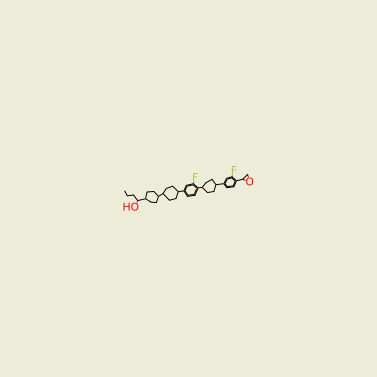 CCCC(O)C1CCC(C2CCC(c3ccc(C4CCC(c5ccc(C6CO6)c(F)c5)CC4)c(F)c3)CC2)CC1